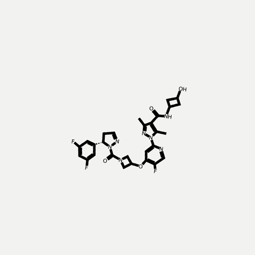 Cc1nn(-c2cc(OC3CN(C(=O)N4N=CC[C@H]4c4cc(F)cc(F)c4)C3)c(F)cn2)c(C)c1C(=O)NC1CC(O)C1